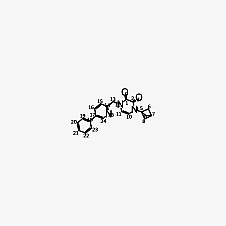 O=c1c(=O)n(C23CC(C2)C3)ccn1Cc1ccc(-c2ccccc2)cn1